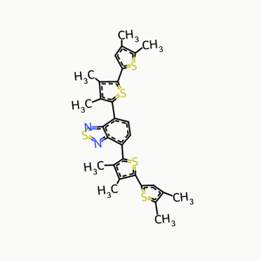 Cc1cc(-c2sc(-c3ccc(-c4sc(-c5cc(C)c(C)s5)c(C)c4C)c4nsnc34)c(C)c2C)sc1C